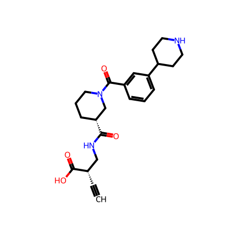 C#C[C@@H](CNC(=O)[C@@H]1CCCN(C(=O)c2cccc(C3CCNCC3)c2)C1)C(=O)O